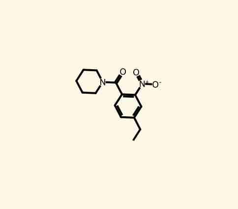 CCc1ccc(C(=O)N2CCCCC2)c([N+](=O)[O-])c1